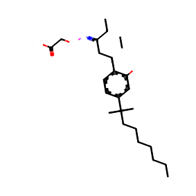 CCCCCCCC(C)(C)c1ccc([C@@H](CC)C/C(CC)=N\OCC(=O)O)c(O)c1